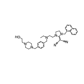 CCN(CCN1CCN(Cc2cccc3ccccc23)C1=C(C#N)C#N)Cc1ccc(CN2CCN(CCO)CC2)cc1